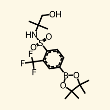 CC(C)(CO)NS(=O)(=O)c1ccc(B2OC(C)(C)C(C)(C)O2)cc1C(F)(F)F